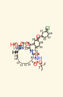 CC(C)(C)OC(=O)N[C@H]1CCCCC/C=C\[C@@H]2C[C@@]2(C(=O)O)NC(=O)C2Cc3cc(Oc4cccc(Cl)c4)ccc3CN2C1=O